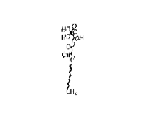 CCCCCCCCCCCCCCCC(=O)OC[C@H](O)[C@H]1OC(=O)C(O)=C1O.[CaH2]